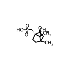 CC12CC[C@@](CS(=O)(=O)O)(C(=O)C1)C2(C)C